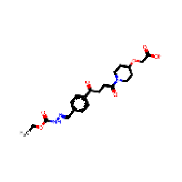 CCOC(=O)NN=Cc1ccc(C(=O)CCC(=O)N2CCC(OCC(=O)O)CC2)cc1